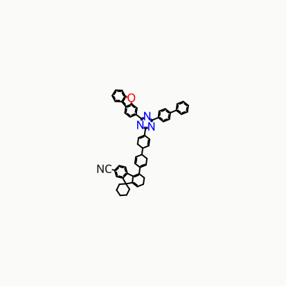 N#Cc1ccc2c(c1)C1(CCCCC1)C1=CCCC(C3=CCC(C4C=CC(c5nc(-c6ccc(-c7ccccc7)cc6)nc(-c6ccc7c(c6)oc6ccccc67)n5)=CC4)C=C3)=C12